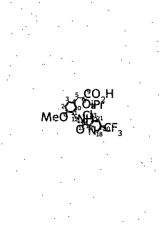 COc1ccc(CC(OC(C)C)C(=O)O)cc1CNC(=O)c1ncc(C(F)(F)F)cc1Cl